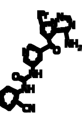 CC(C)c1cc(C(=O)c2cncc(NC(=O)Nc3ccccc3C#N)c2)c2c(N)ncnn12